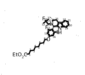 CCOC(=O)CCCCCCCCOc1cc(F)c([C@@H]2c3[nH]c4ccccc4c3C[C@@H](C)N2CC(C)(C)F)c(F)c1